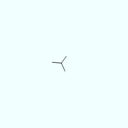 [Co+3].[O-]C([O-])[O-]